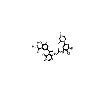 CCN1CCN(c2cc(NC(=O)Cn3cc(-c4cc(F)c(O)c(C(N)=O)c4)c4c(=O)n(C)cnc43)c(Cl)c(F)n2)[C@@H](C)C1